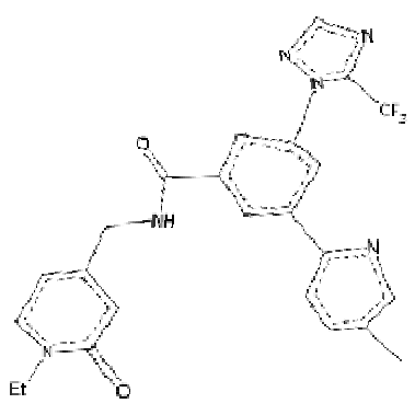 CCn1ccc(CNC(=O)c2cc(-c3ccc(C)cn3)cc(-n3ncnc3C(F)(F)F)c2)cc1=O